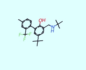 Cc1ccc(-c2cc(C(C)(C)C)cc(CNC(C)(C)C)c2O)c(C(F)(F)F)c1